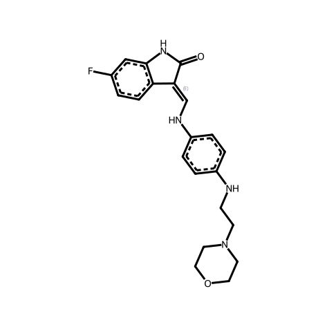 O=C1Nc2cc(F)ccc2/C1=C\Nc1ccc(NCCN2CCOCC2)cc1